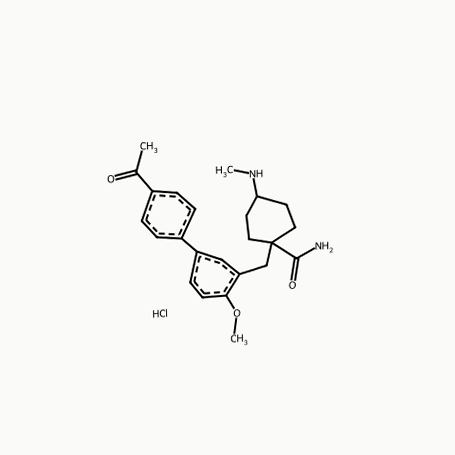 CNC1CCC(Cc2cc(-c3ccc(C(C)=O)cc3)ccc2OC)(C(N)=O)CC1.Cl